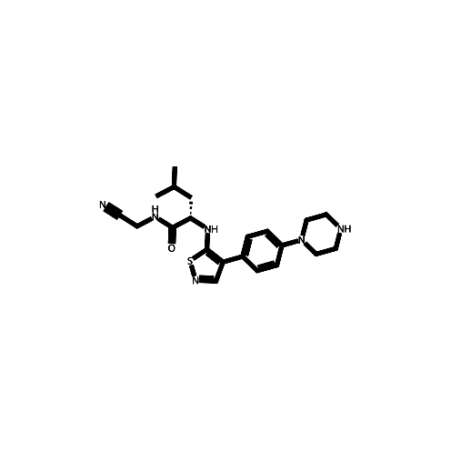 CC(C)C[C@H](Nc1sncc1-c1ccc(N2CCNCC2)cc1)C(=O)NCC#N